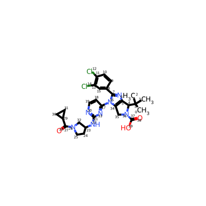 CC(C)(C)C1c2nc(-c3ccc(Cl)c(Cl)c3)n(-c3ccnc(NC4CCN(C(=O)C5CC5)C4)n3)c2CN1C(=O)O